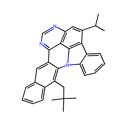 CC(C)c1cc2ncnc3c4cc5ccccc5c(CC(C)(C)C)c4n4c5ccccc5c1c4c23